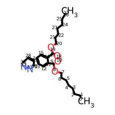 CCCCCCCCOC(=O)c1ccccc1C(=O)OCCCCCCCC.c1ccnnc1